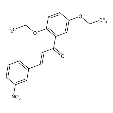 O=C(/C=C/c1cccc([N+](=O)[O-])c1)c1cc(OCC(F)(F)F)ccc1OCC(F)(F)F